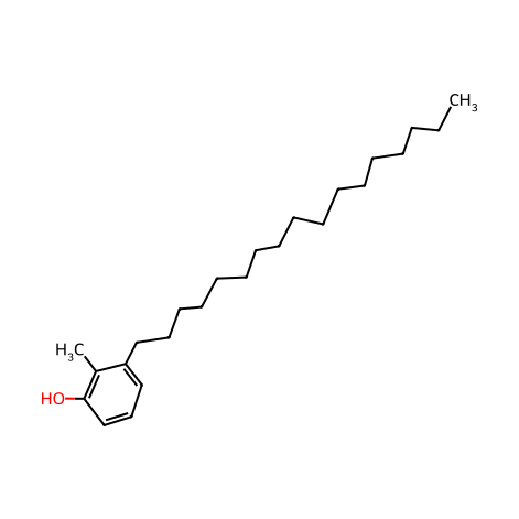 CCCCCCCCCCCCCCCCCc1cccc(O)c1C